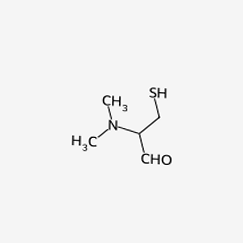 CN(C)C(C=O)CS